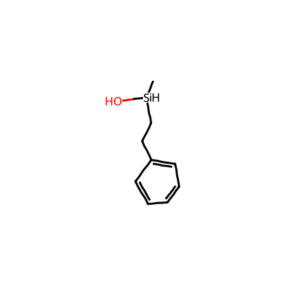 C[SiH](O)CCc1ccccc1